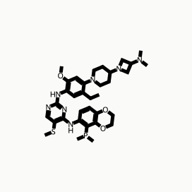 CCc1cc(Nc2ncc(SC)c(Nc3ccc4c(c3P(C)C)OCCO4)n2)c(OC)cc1N1CCC(N2CC(N(C)C)C2)CC1